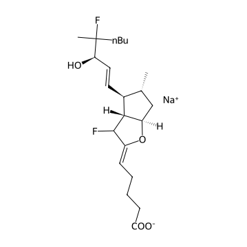 CCCCC(C)(F)[C@H](O)/C=C/[C@@H]1[C@H]2C(F)/C(=C/CCCC(=O)[O-])O[C@@H]2C[C@H]1C.[Na+]